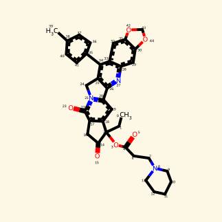 CCC1(OC(=O)CCN2CCCCC2)C(=O)Cc2c1cc1n(c2=O)Cc2c-1nc1cc3c(cc1c2-c1ccc(C)cc1)OCO3